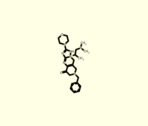 CC(CN(C)C)[N+]12CC3=C(N=C1N=C(N1CCOCC1)N2)C(=O)CN(Cc1ccccc1)C3